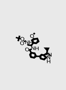 COc1cccc(C(CNC(=O)OC(C)(C)C)NC(=O)c2cccc(-c3ccc4[nH]nc(C5CC5)c4c3)c2)c1